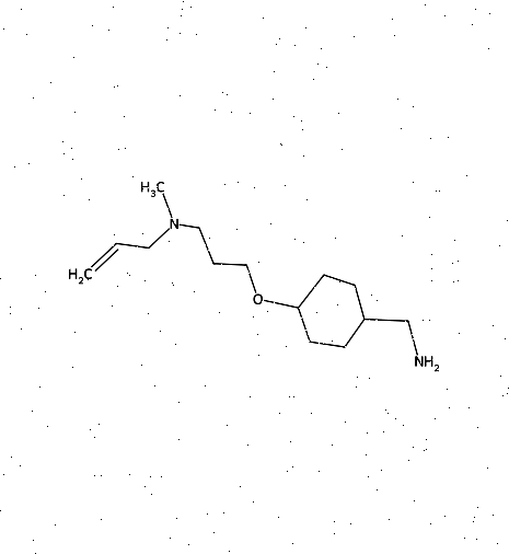 C=CCN(C)CCCOC1CCC(CN)CC1